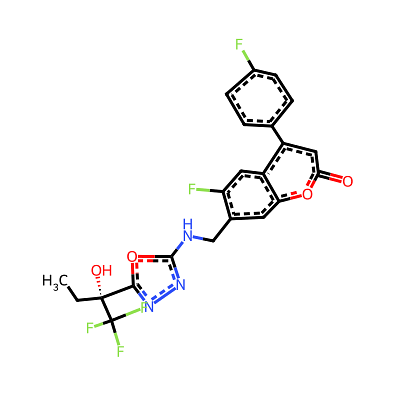 CC[C@@](O)(c1nnc(NCc2cc3oc(=O)cc(-c4ccc(F)cc4)c3cc2F)o1)C(F)(F)F